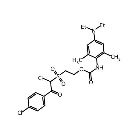 CCN(CC)c1cc(C)c(NC(=O)OCCS(=O)(=O)C(Cl)C(=O)c2ccc(Cl)cc2)c(C)c1